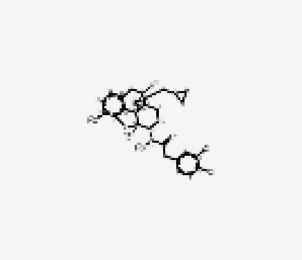 O=C(Cc1ccc(Cl)c(Cl)c1)N(O)[C@@H]1CC[C@@]2(O)[C@H]3Cc4ccc(O)c5c4[C@@]2(CCN3CC2CC2)[C@H]1O5